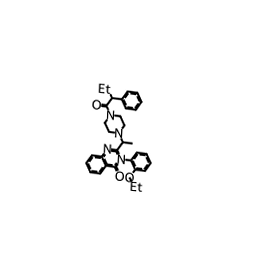 CCOc1ccccc1-n1c(C(C)N2CCN(C(=O)C(CC)c3ccccc3)CC2)nc2ccccc2c1=O